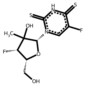 CC1(O)[C@@H](F)[C@@H](CO)O[C@H]1n1cc(F)c(=S)[nH]c1=S